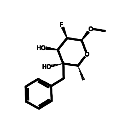 CO[C@H]1O[C@H](C)[C@@](O)(Cc2ccccc2)[C@@H](O)[C@H]1F